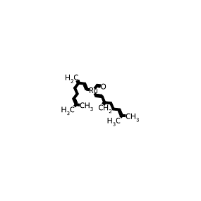 C=C(C=[CH][Ru]([CH]=O)[CH]=CC(=C)CCC=C(C)C)CCC=C(C)C